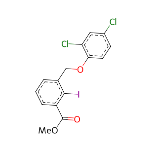 COC(=O)c1cccc(COc2ccc(Cl)cc2Cl)c1I